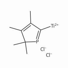 CC1=C(C)C(C)(C)P=[C]1[Ti+2].[Cl-].[Cl-]